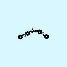 O=C(C=Cc1ccc(OCc2ccccc2)cc1)C=Cc1ccc(OCc2ccccc2)cc1